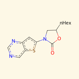 CCCCCCC1CN(c2cc3ncncc3s2)C(=O)O1